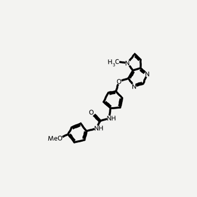 COc1ccc(NC(=O)Nc2ccc(Oc3ncnc4ccn(C)c34)cc2)cc1